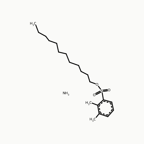 CCCCCCCCCCCCOS(=O)(=O)c1cccc(C)c1C.N